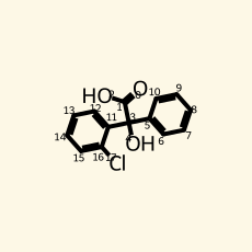 O=C(O)C(O)(c1ccccc1)c1ccccc1Cl